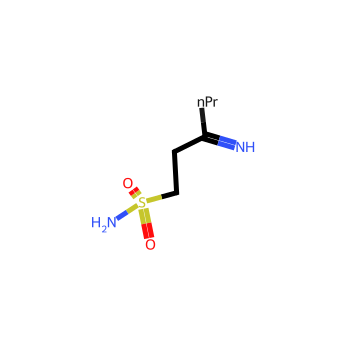 CCCC(=N)CCS(N)(=O)=O